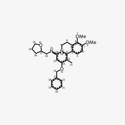 COc1ccc2c(c1OC)CCn1c-2c(C)c(OCc2ccccc2)cc1=NCC1CCCO1